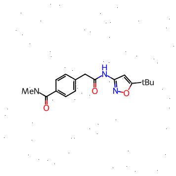 CNC(=O)c1ccc(CC(=O)Nc2cc(C(C)(C)C)on2)cc1